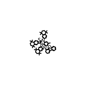 Cc1cc2c3c(c1)N(c1ccc4c(c1)C(C)(C)CCC4(C)C)c1sc4cc5c(cc4c1B3c1cc3c(cc1N2C1=c2oc4ccccc4c2=CCC1)C(C)(C)CCC3(C)C)C(C)(C)CCC5(C)C